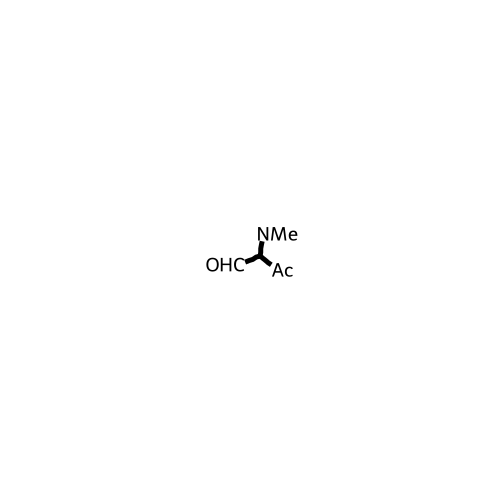 CNC(C=O)C(C)=O